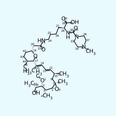 CO[C@H]([C@@H](C)[C@H]1O[C@]1(C)C[C@H](C)/C=C/C=C(\C)[C@H]1O[C@@H](CC(=O)NCCCC[C@H](NC(=O)N2CCN(C)CC2)C(=O)O)CC[C@@H]1C)[C@@H](C)O